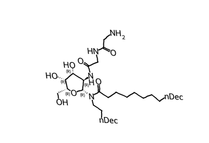 CCCCCCCCCCCCCCCCCC(=O)N(CCCCCCCCCCCC)[C@@H]1O[C@H](CO)[C@H](O)[C@H](O)[C@H]1NC(=O)CNC(=O)CN